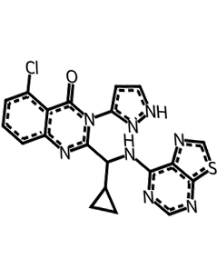 O=c1c2c(Cl)cccc2nc(C(Nc2ncnc3scnc23)C2CC2)n1-c1cc[nH]n1